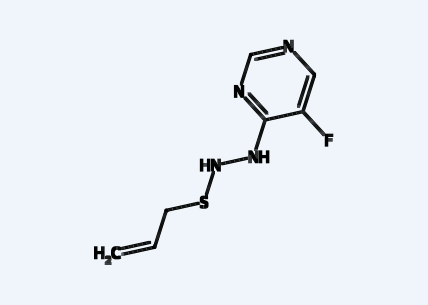 C=CCSNNc1ncncc1F